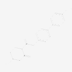 CCCCCCc1cnc(-c2ccc(CC(=O)C3CCC(CCC)CC3=O)cc2)nc1